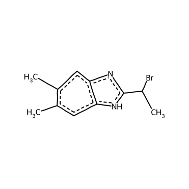 Cc1cc2nc(C(C)Br)[nH]c2cc1C